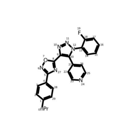 CCCc1ccc(-c2noc(-c3nnn(-c4ccccc4F)c3-c3ccncc3)n2)cc1